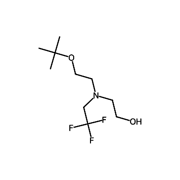 CC(C)(C)OCCN(CCO)CC(F)(F)F